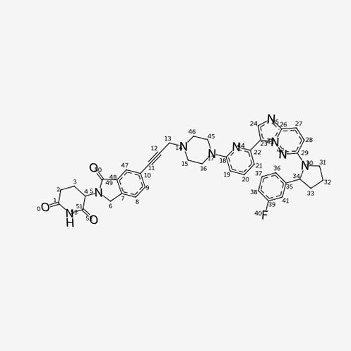 O=C1CCC(N2Cc3ccc(C#CCN4CCN(c5cccc(-c6cnc7ccc(N8CCCC8c8cccc(F)c8)nn67)n5)CC4)cc3C2=O)C(=O)N1